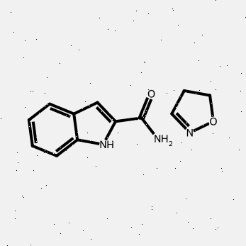 C1=NOCC1.NC(=O)c1cc2ccccc2[nH]1